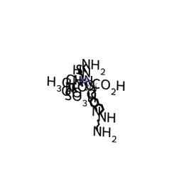 CC1(C)C(NC(=O)/C(=N\O[C@@H](COc2ccc3nc(NCCCN)ccc3c2)C(=O)O)c2csc(N)n2)C(=O)N1OS(=O)(=O)O